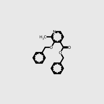 Cc1nccc(C(=O)OCc2ccccc2)c1OCc1ccccc1